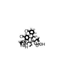 CC[C@@H](CNS(=O)(=O)C1(C)CC1)N1C(=O)[C@@]2(C[C@H](c3cccc(Cl)c3)[C@H]1c1ccc(Cl)cc1)C[C@@H]2C(=O)O